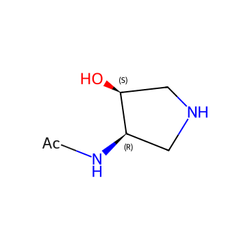 CC(=O)N[C@@H]1CNC[C@@H]1O